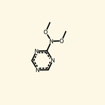 CON(OC)c1ncncn1